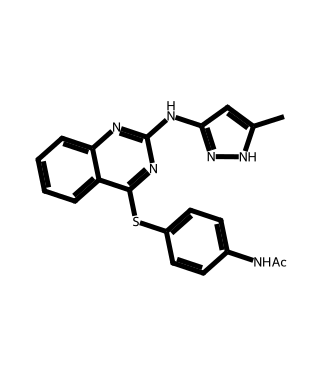 CC(=O)Nc1ccc(Sc2nc(Nc3cc(C)[nH]n3)nc3ccccc23)cc1